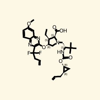 C=CC[C@@H]1C[C@H]1OC(=O)N[C@H](CN1C[C@H](Oc2nc3cc(OC)ccc3nc2C(F)(F)CC=C)[C@@H](CC)[C@H]1C(=O)O)C(C)(C)C